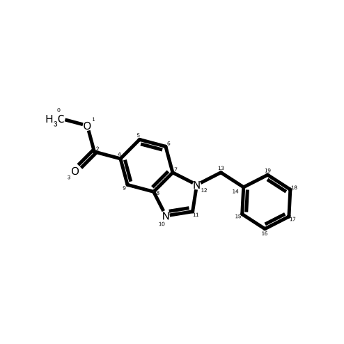 COC(=O)c1ccc2c(c1)ncn2Cc1ccccc1